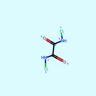 O=C(NCl)C(=O)NCl